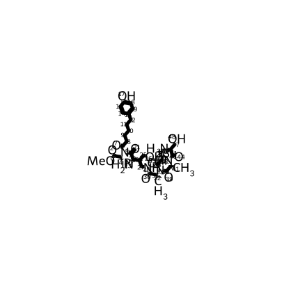 COC(=O)[C@H](C(C)C)N(C(=O)CCCCCc1ccc(O)cc1)C(=O)[C@@H](N)C(CO)CNC(=O)[C@H](C)N(C(=O)OC(C)(C)C)C(=O)[C@H](C)NC(=O)[C@@H](N)CO